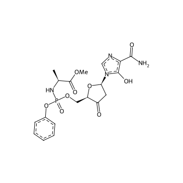 COC(=O)[C@H](C)NP(=O)(OC[C@H]1O[C@@H](n2cnc(C(N)=O)c2O)CC1=O)Oc1ccccc1